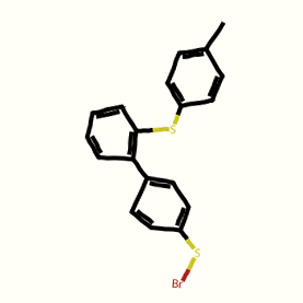 Cc1ccc(Sc2[c]cccc2-c2ccc(SBr)cc2)cc1